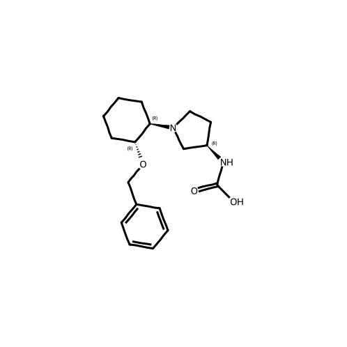 O=C(O)N[C@@H]1CCN([C@@H]2CCCC[C@H]2OCc2ccccc2)C1